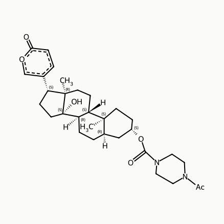 CC(=O)N1CCN(C(=O)O[C@H]2CC[C@@]3(C)[C@H](CC[C@@H]4[C@@H]3CC[C@]3(C)[C@@H](c5ccc(=O)oc5)CC[C@]43O)C2)CC1